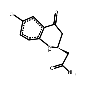 NC(=O)C[C@@H]1CC(=O)c2cc(Cl)ccc2N1